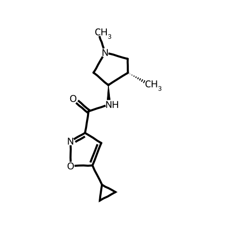 C[C@H]1CN(C)C[C@@H]1NC(=O)c1cc(C2CC2)on1